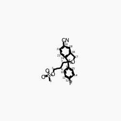 CS(=O)(=O)OCCCC1(c2ccc(F)cc2)OCc2cc(C#N)ccc21